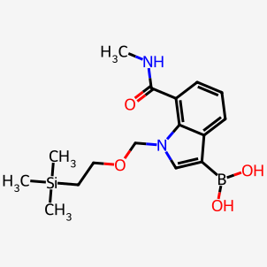 CNC(=O)c1cccc2c(B(O)O)cn(COCC[Si](C)(C)C)c12